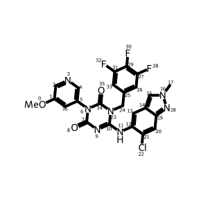 COc1cncc(-n2c(=O)nc(Nc3cc4cn(C)nc4cc3Cl)n(Cc3cc(F)c(F)c(F)c3)c2=O)c1